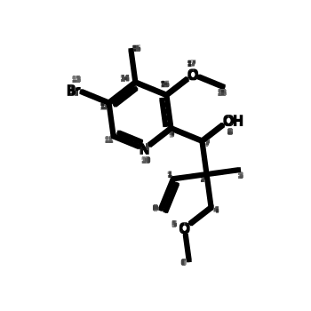 C=CC(C)(COC)C(O)c1ncc(Br)c(C)c1OC